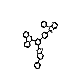 c1ccc(-c2ccc3nc(-c4cc(-c5ccc(-c6nc7cccnc7n6-c6ccccc6)cc5)cc(-c5cc6ccccc6c6ccccc56)c4)nn3c2)cc1